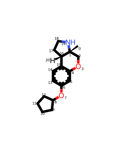 C[C@@]12COc3cc(OC4CCCC4)ccc3[C@@H]1CCN2